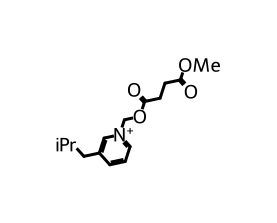 COC(=O)CCC(=O)OC[n+]1cccc(CC(C)C)c1